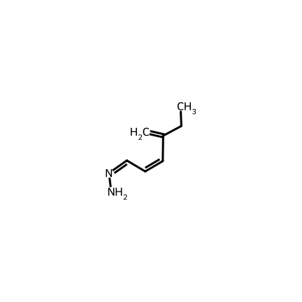 C=C(/C=C\C=N/N)CC